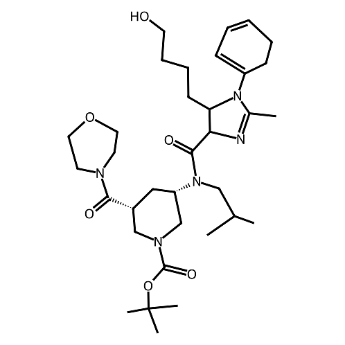 CC1=NC(C(=O)N(CC(C)C)[C@H]2C[C@@H](C(=O)N3CCOCC3)CN(C(=O)OC(C)(C)C)C2)C(CCCCO)N1C1=CC=CCC1